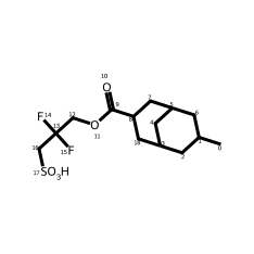 CC1CC2CC(C1)CC(C(=O)OCC(F)(F)CS(=O)(=O)O)C2